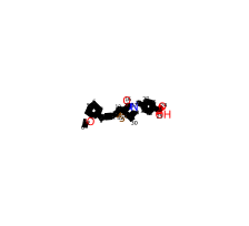 CCOc1ccccc1CC#Cc1cc2c(=O)n(Cc3ccc(C(=O)O)cc3)cc(C)c2s1